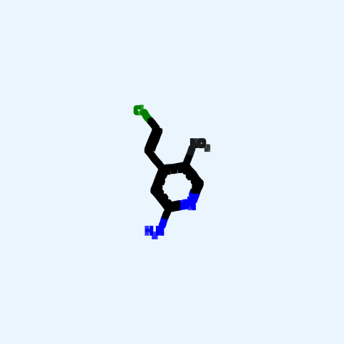 Nc1cc(C=CCl)c([N+](=O)[O-])cn1